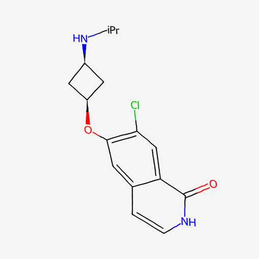 CC(C)N[C@H]1C[C@@H](Oc2cc3cc[nH]c(=O)c3cc2Cl)C1